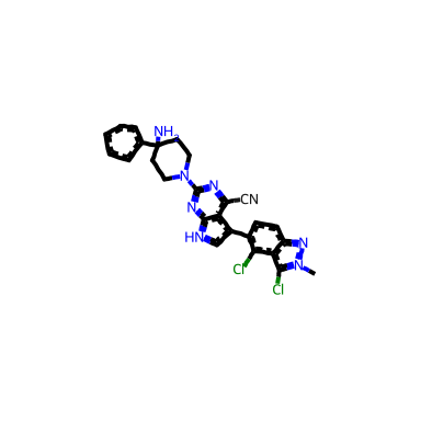 Cn1nc2ccc(-c3c[nH]c4nc(N5CCC(N)(c6ccccc6)CC5)nc(C#N)c34)c(Cl)c2c1Cl